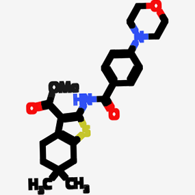 COC(=O)c1c(NC(=O)c2ccc(N3CCOCC3)cc2)sc2c1CCC(C)(C)C2